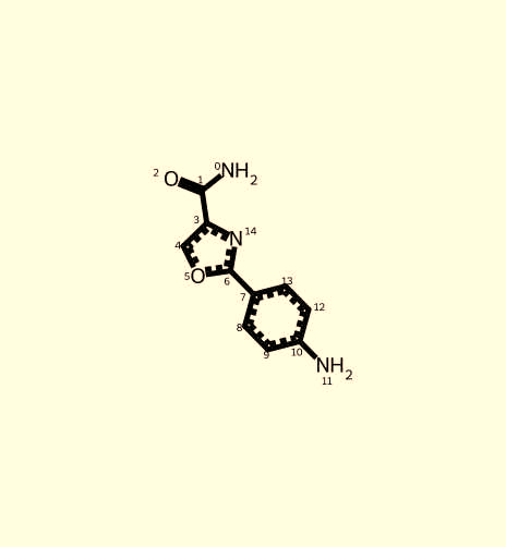 NC(=O)c1coc(-c2ccc(N)cc2)n1